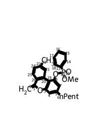 C=C1Oc2cc(CCCCC)cc(OP(=O)(OC)c3ccccc3)c2-c2cc(C)ccc21